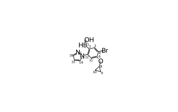 OBc1cc(Br)c(OC2CC2)cc1-n1cccn1